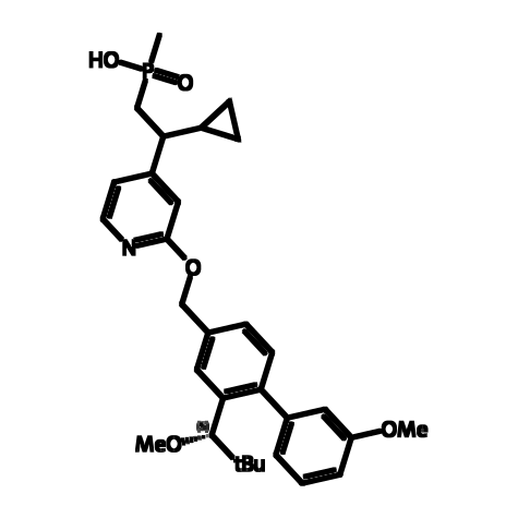 COc1cccc(-c2ccc(COc3cc(C(CP(C)(=O)O)C4CC4)ccn3)cc2[C@@H](OC)C(C)(C)C)c1